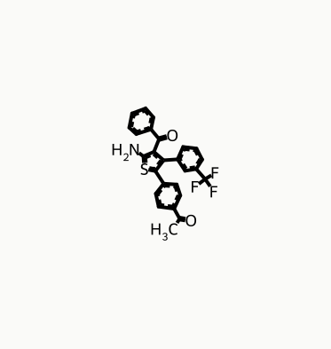 CC(=O)c1ccc(-c2sc(N)c(C(=O)c3ccccc3)c2-c2cccc(C(F)(F)F)c2)cc1